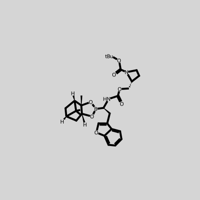 CC(C)(C)OC(=O)N1CC[C@@H]1COC(=O)N[C@@H](Cc1coc2ccccc12)B1O[C@@H]2C[C@@H]3C[C@@H](C3(C)C)[C@]2(C)O1